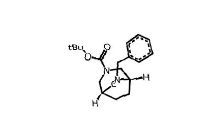 CC(C)(C)OC(=O)N1C[C@H]2CC[C@@H](C1)N(Cc1ccccc1)C2